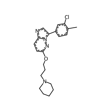 Cc1ccc(-c2cnc3ccc(OCCCN4CCCCC4)nn23)cc1Cl